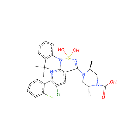 C[C@@H]1CN(C2=NS(O)(O)N(c3ccccc3C(C)(C)C)c3nc(-c4ccccc4F)c(Cl)cc32)[C@@H](C)CN1C(=O)O